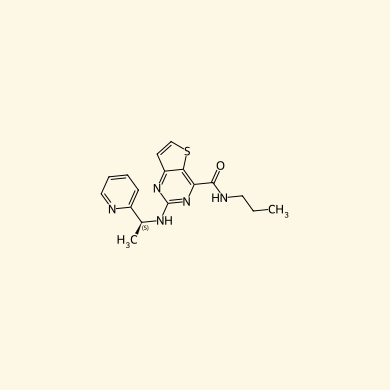 CCCNC(=O)c1nc(N[C@@H](C)c2ccccn2)nc2ccsc12